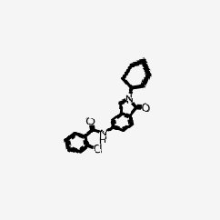 O=C(Nc1ccc2c(c1)CN(C1CCCCC1)C2=O)c1ccccc1Cl